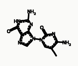 Cc1cn(-n2cnc3c(=O)[nH]c(N)nc32)c(=O)nc1N